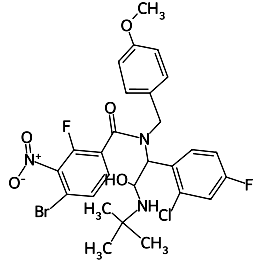 COc1ccc(CN(C(=O)c2ccc(Br)c([N+](=O)[O-])c2F)C(c2ccc(F)cc2Cl)C(O)NC(C)(C)C)cc1